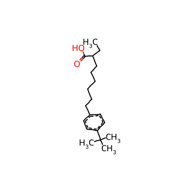 CCC(CCCCCCc1ccc(C(C)(C)C)cc1)C(=O)O